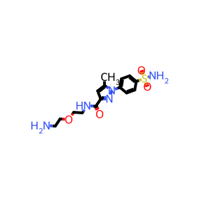 Cc1cc(C(=O)NCCOCCN)nn1-c1ccc(S(N)(=O)=O)cc1